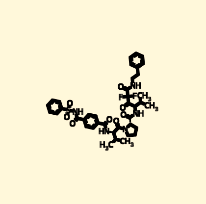 CC(C)C(NC(=O)[C@@H]1CCCN1C(=O)[C@@H](NC(=O)c1ccc(C(=O)NS(=O)(=O)c2ccccc2)cc1)C(C)C)C(=O)C(F)(F)C(=O)NCCc1ccccc1